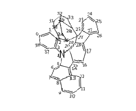 c1ccc(-n2c3ccc4ccccc4c3c3ccc4c(c32)C2(c3ccccc3-4)C3CC4CC(C3)CC2C4)cc1